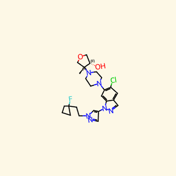 C[C@@]1(N2CCN(c3cc4c(cnn4-c4cnn(CCC5(F)CCC5)c4)cc3Cl)CC2)COC[C@@H]1O